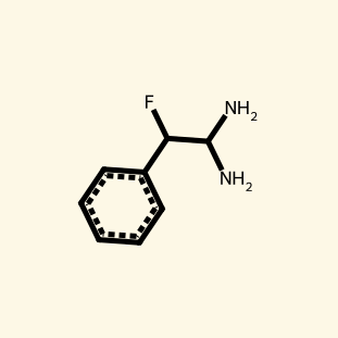 NC(N)C(F)c1ccccc1